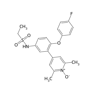 CCS(=O)(=O)Nc1ccc(Oc2ccc(F)cc2)c(-c2cc(C)[n+]([O-])c(C)c2)c1